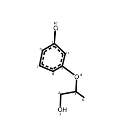 CC(CO)Oc1cccc(Cl)c1